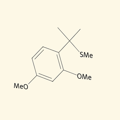 COc1ccc(C(C)(C)SC)c(OC)c1